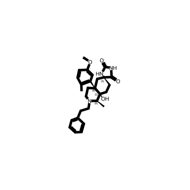 COc1ccc(C)c([C@]23CCN(CCc4ccccc4)[C@H](C)[C@]2(O)CC[C@@]2(C3)NC(=O)NC2=O)c1